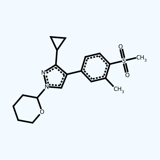 Cc1cc(-c2cn(C3CCCCO3)nc2C2CC2)ccc1S(C)(=O)=O